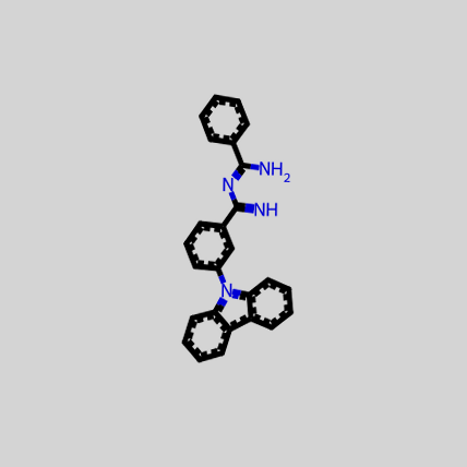 N=C(/N=C(\N)c1ccccc1)c1cccc(-n2c3ccccc3c3ccccc32)c1